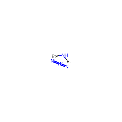 CCNCC.[N-]=[N+]=[N-]